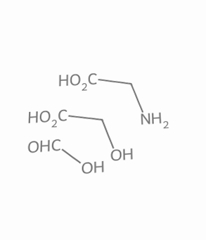 NCC(=O)O.O=C(O)CO.O=CO